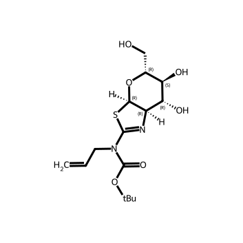 C=CCN(C(=O)OC(C)(C)C)C1=N[C@@H]2[C@@H](O)[C@H](O)[C@@H](CO)O[C@@H]2S1